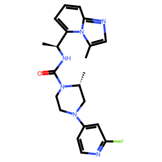 Cc1cnc2cccc([C@H](C)NC(=O)N3CCN(c4ccnc(F)c4)C[C@H]3C)n12